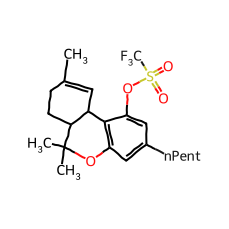 CCCCCc1cc2c(c(OS(=O)(=O)C(F)(F)F)c1)C1C=C(C)CCC1C(C)(C)O2